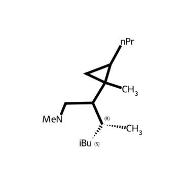 CCCC1CC1(C)C(CNC)[C@H](C)[C@@H](C)CC